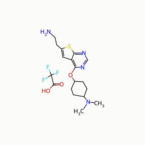 CN(C)C1CCC(Oc2ncnc3sc(CCN)cc23)CC1.O=C(O)C(F)(F)F